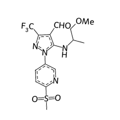 COCC(C)Nc1c(C=O)c(C(F)(F)F)nn1-c1ccc(S(C)(=O)=O)nc1